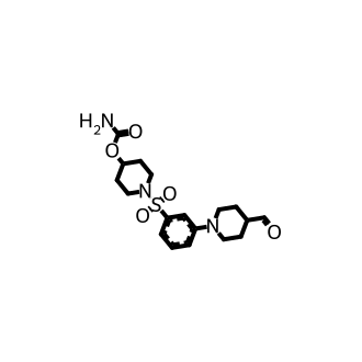 NC(=O)OC1CCN(S(=O)(=O)c2cccc(N3CCC(C=O)CC3)c2)CC1